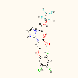 O=C(O)N(CCOc1cc(Cl)c(Cl)cc1Cl)c1nccn1CCOC(F)(F)C(F)F